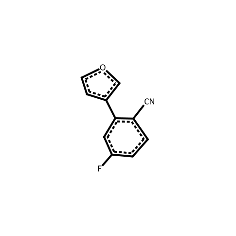 N#Cc1ccc(F)cc1-c1ccoc1